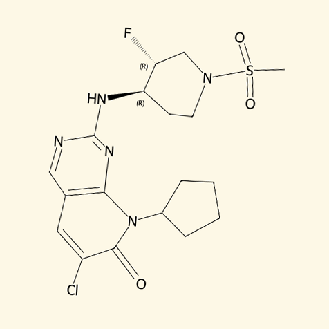 CS(=O)(=O)N1CC[C@@H](Nc2ncc3cc(Cl)c(=O)n(C4CCCC4)c3n2)[C@H](F)C1